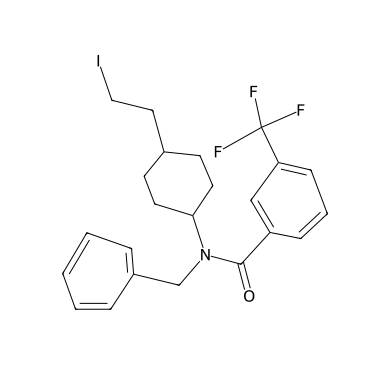 O=C(c1cccc(C(F)(F)F)c1)N(Cc1ccccc1)C1CCC(CCI)CC1